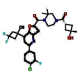 CC1(C)CN(C(=O)[C@H]2C[C@@](C)(O)C2)CCN1C(=O)c1cc2nc(-c3ccc(Cl)c(F)c3)cc(C3(C#N)CC(F)(F)C3)c2o1